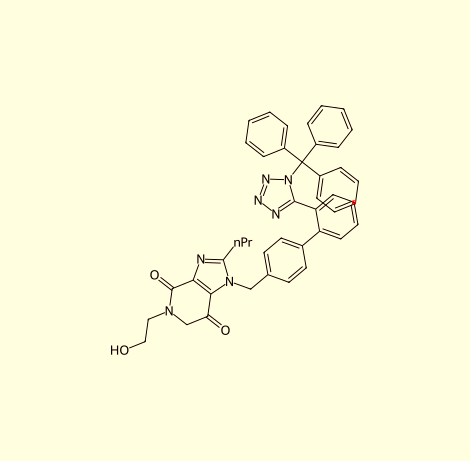 CCCc1nc2c(n1Cc1ccc(-c3ccccc3-c3nnnn3C(c3ccccc3)(c3ccccc3)c3ccccc3)cc1)C(=O)CN(CCO)C2=O